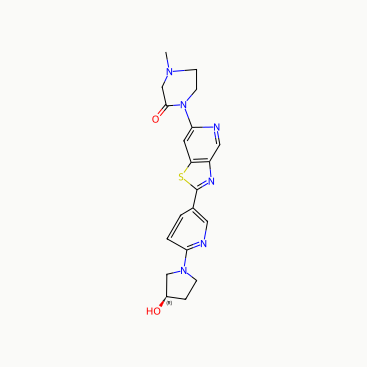 CN1CCN(c2cc3sc(-c4ccc(N5CC[C@@H](O)C5)nc4)nc3cn2)C(=O)C1